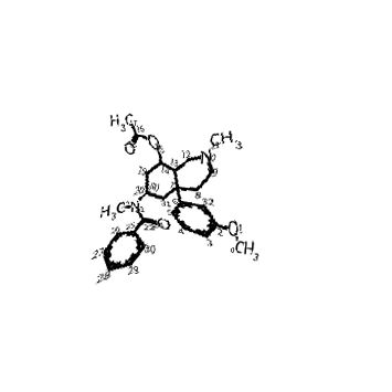 COc1cccc(C23CCN(C)CC2C(OC(C)=O)C[C@H](N(C)C(=O)c2ccccc2)C3)c1